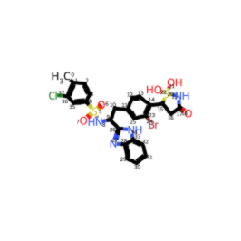 Cc1ccc(S(=O)(=O)NC(Cc2ccc(C3CC(=O)NS3(O)O)c(Br)c2)c2nc3ccccc3[nH]2)cc1Cl